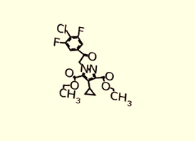 CCOC(=O)c1nn(CC(=O)c2cc(F)c(Cl)c(F)c2)c(C(=O)OCC)c1C1CC1